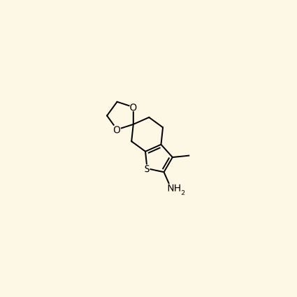 Cc1c(N)sc2c1CCC1(C2)OCCO1